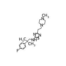 CN1CCN(CCc2nsc(NCC(C)(C)c3ccc(F)cc3)n2)CC1